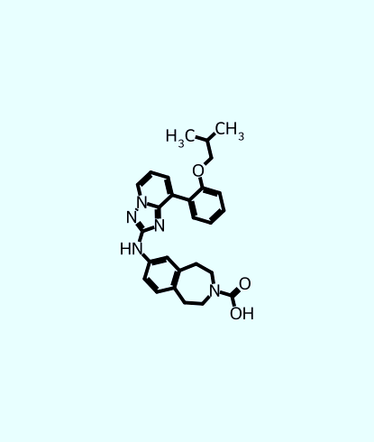 CC(C)COc1ccccc1-c1cccn2nc(Nc3ccc4c(c3)CCN(C(=O)O)CC4)nc12